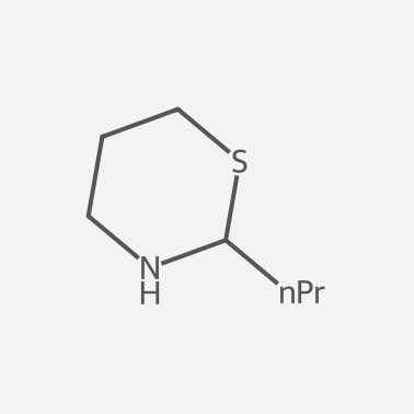 CCCC1NCCCS1